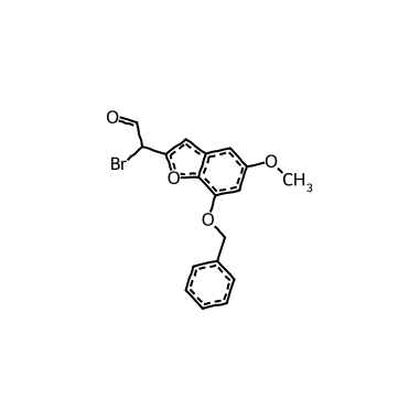 COc1cc(OCc2ccccc2)c2oc(C(Br)C=O)cc2c1